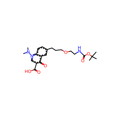 CN(C)n1cc(C(=O)O)c(=O)c2cc(CCCOCCNC(=O)OC(C)(C)C)ccc21